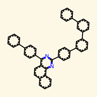 c1ccc(-c2ccc(-c3nc(-c4ccc(-c5cccc(-c6cccc(-c7ccccc7)c6)c5)cc4)nc4c3ccc3ccccc34)cc2)cc1